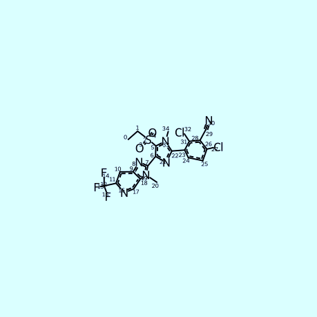 CCS(=O)(=O)c1c(-c2nc3cc(C(F)(F)F)ncc3n2C)nc(-c2ccc(Cl)c(C#N)c2Cl)n1C